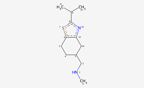 CNCC1CCc2sc(C(C)C)nc2C1